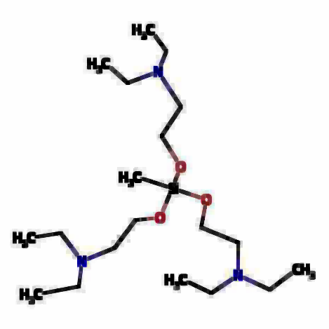 CCN(CC)CCO[Si](C)(OCCN(CC)CC)OCCN(CC)CC